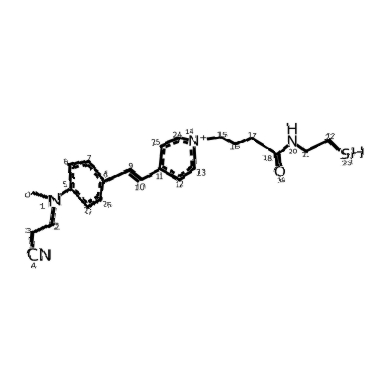 CN(CCC#N)c1ccc(/C=C/c2cc[n+](CCCC(=O)NCCS)cc2)cc1